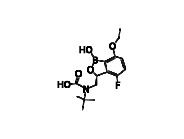 CCOc1ccc(F)c2c1B(O)O[C@@H]2CN(C(=O)O)C(C)(C)C